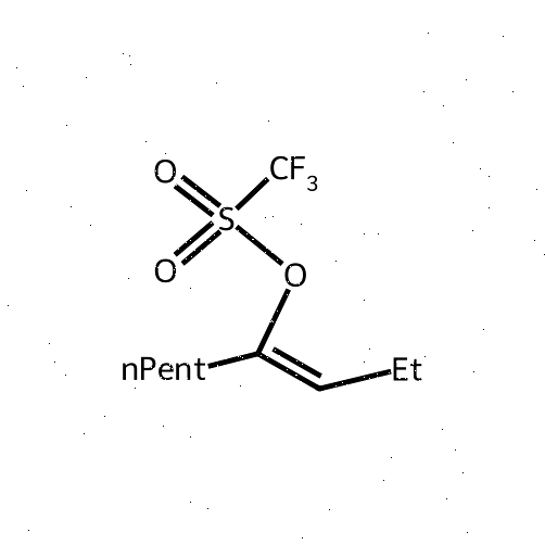 CCC=C(CCCCC)OS(=O)(=O)C(F)(F)F